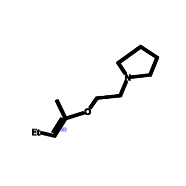 CC/C=C(\C)OCCN1CCCC1